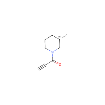 C#CC(=O)N1CCC[C@H](C)C1